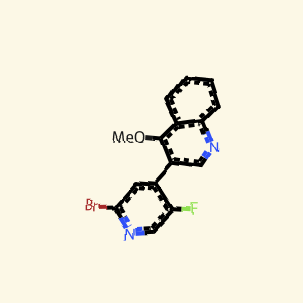 COc1c(-c2cc(Br)ncc2F)cnc2ccccc12